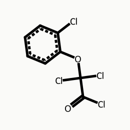 O=C(Cl)C(Cl)(Cl)Oc1ccccc1Cl